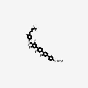 CCCCCCCc1ccc(-c2ccc(-c3ccc(-c4cc(F)c(C(F)(F)Oc5ccc(CCC=C(F)F)c(F)c5)c(F)c4)c(F)c3)c(F)c2)cc1